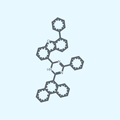 c1ccc(C2=NC(c3cccc4oc5c(-c6ccccc6)cccc5c34)NC(c3cc4ccccc4c4ccccc34)=N2)cc1